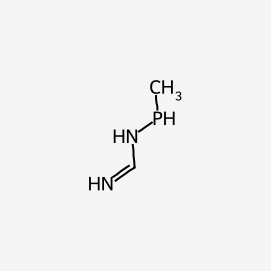 CPNC=N